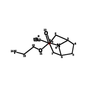 CC(C)(C)C1CC2CCC(C1)N2C(=O)OCCF